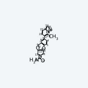 Cc1c(-c2ccc3c(c2)COC2(CCN(C(N)=O)CC2)O3)ccc2ccnn12